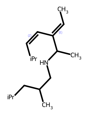 C/C=C(\C=C/C(C)C)C(C)NCC(C)CC(C)C